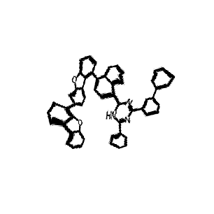 c1ccc(C2=NC(c3cccc(-c4ccccc4)c3)=NC(c3ccc(-c4cccc5oc6cc(-c7cccc8c7oc7ccccc78)ccc6c45)c4ccccc34)N2)cc1